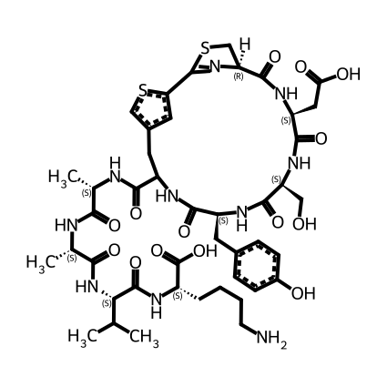 CC(C)[C@H](NC(=O)[C@H](C)NC(=O)[C@H](C)NC(=O)C1Cc2csc(c2)C2=N[C@@H](CS2)C(=O)N[C@@H](CC(=O)O)C(=O)N[C@@H](CO)C(=O)N[C@@H](Cc2ccc(O)cc2)C(=O)N1)C(=O)N[C@@H](CCCCN)C(=O)O